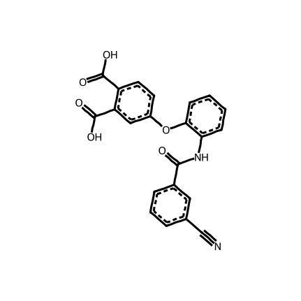 N#Cc1cccc(C(=O)Nc2ccccc2Oc2ccc(C(=O)O)c(C(=O)O)c2)c1